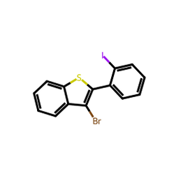 Brc1c(-c2ccccc2I)sc2ccccc12